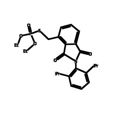 CCOP(=O)(OCC)SCc1cccc2c1C(=O)N(c1c(C(C)C)cccc1C(C)C)C2=O